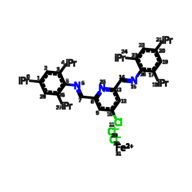 CC(C)c1cc(C(C)C)c(N=Cc2cc(Cl)cc(C=Nc3c(C(C)C)cc(C(C)C)cc3C(C)C)n2)c(C(C)C)c1.[Cl-].[Cl-].[Fe+2]